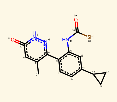 Cc1cc(=O)[nH]nc1-c1ccc(C2CC2)cc1NC(=O)S